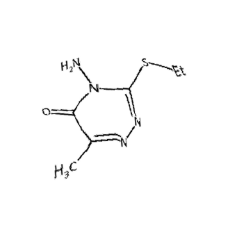 CCSc1nnc(C)c(=O)n1N